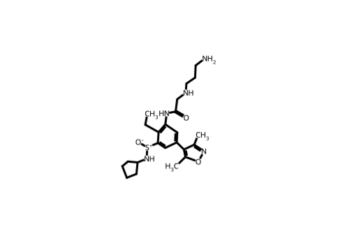 CCc1c(NC(=O)CNCCCN)cc(-c2c(C)noc2C)cc1[S+]([O-])NC1CCCC1